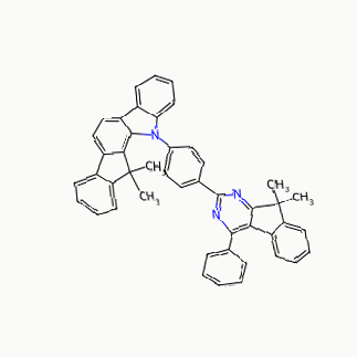 CC1(C)c2ccccc2-c2c(-c3ccccc3)nc(-c3ccc(-n4c5ccccc5c5ccc6c(c54)C(C)(C)c4ccccc4-6)cc3)nc21